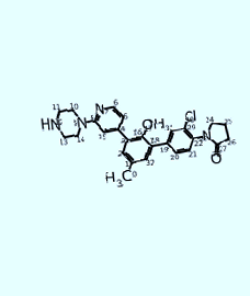 Cc1cc(-c2ccnc(N3CCNCC3)c2)c(O)c(-c2ccc(N3CCCC3=O)c(Cl)c2)c1